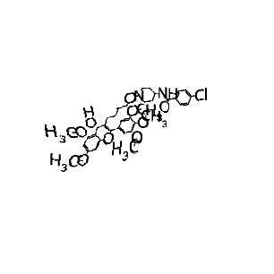 COc1cc(OC)c2c(c1)OC(c1cc(OC)c(OC)c(OC)c1)=C(CCCCON1CCC(NC(=O)c3ccc(Cl)cc3)CC1)C2O